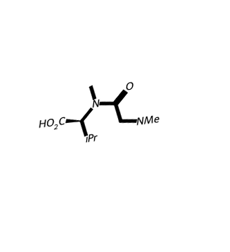 CNCC(=O)N(C)[C@H](C(=O)O)C(C)C